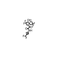 O=C(NC12CC(C(F)F)(C1)C2)C(=O)N1CC(F)(F)[C@H](O)[C@@]12CCC(F)(F)C2